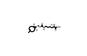 C/C1=C/CC[C@@H]2[C@H](CC1)[C@H]2COC(=O)NCCCC[C@H](N)C(=O)O